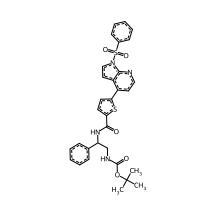 CC(C)(C)OC(=O)NCC(NC(=O)c1ccc(-c2ccnc3c2ccn3S(=O)(=O)c2ccccc2)s1)c1ccccc1